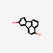 Oc1ccc2c(c1)-c1ccc(O)c3cccc-2c13